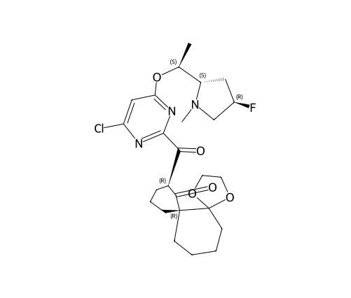 C[C@H](Oc1cc(Cl)nc(C(=O)[C@@H]2CCC[C@@]3(CCCCC34OCCO4)C2=O)n1)[C@@H]1C[C@@H](F)CN1C